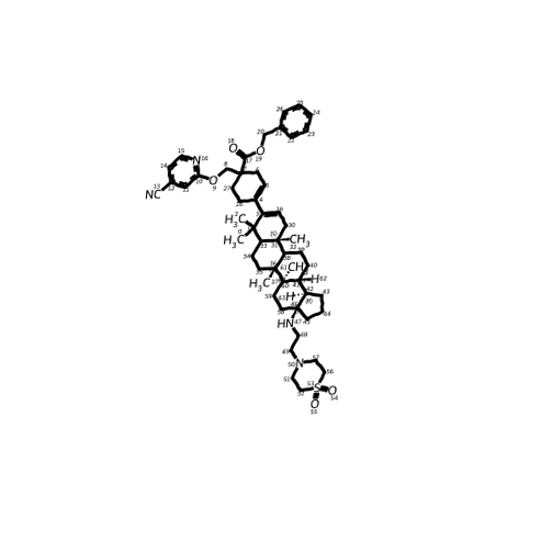 CC1(C)C(C2=CCC(COc3cc(C#N)ccn3)(C(=O)OCc3ccccc3)CC2)=CC[C@@]2(C)C1CC[C@]1(C)C2CC[C@@H]2[C@H]3CCC[C@]3(NCCN3CCS(=O)(=O)CC3)CC[C@]21C